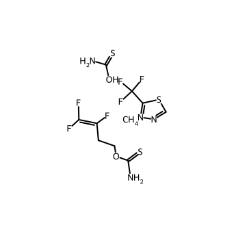 C.FC(F)(F)c1nncs1.NC(=S)OCCC(F)=C(F)F.NC(O)=S